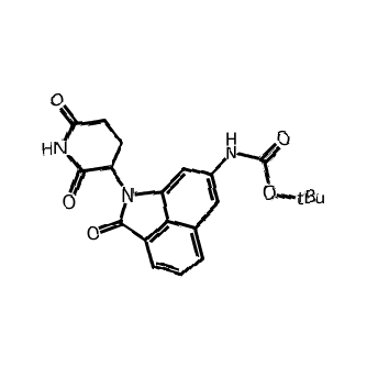 CC(C)(C)OC(=O)Nc1cc2c3c(cccc3c1)C(=O)N2C1CCC(=O)NC1=O